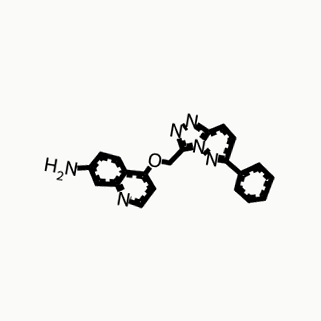 Nc1ccc2c(OCc3nnc4ccc(-c5ccccc5)nn34)ccnc2c1